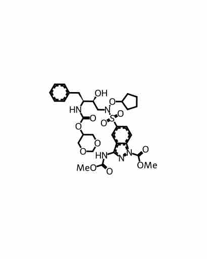 COC(=O)Nc1nn(C(=O)OC)c2ccc(S(=O)(=O)N(C[C@H](O)[C@H](Cc3ccccc3)NC(=O)OC3COCOC3)OC3CCCC3)cc12